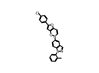 Cc1ccccc1-n1ncc2cc(N3C=Cc4oc(-c5ccc(Cl)cc5)cc4O3)ccc21